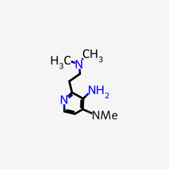 CNc1ccnc(CCN(C)C)c1N